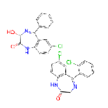 O=C1CN=C(c2ccccc2Cl)c2cc(Cl)ccc2N1.O=C1Nc2ccc(Cl)cc2C(c2ccccc2)=NC1O